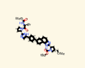 COC[C@H]1C[C@@H](c2nc3ccc4cc(-c5ccc(-c6cnc([C@@H]7CCCN7C(=O)[C@@H](NC(=O)OC)C(C)C)[nH]6)cc5)ccc4c3[nH]2)N(C(=O)OC(C)(C)C)C1